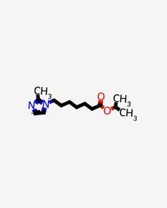 Cc1n[c]cn1CCCCCCC(=O)OC(C)C